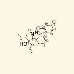 CCCC(O)(CCC)c1c2cccc(-c3ccc(Cl)cc3Cl)c2nn1C